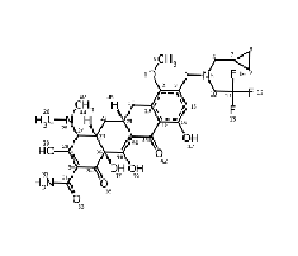 COc1c(CN(CC2CC2)CC(F)(F)F)cc(O)c2c1C[C@H]1C[C@H]3[C@H](N(C)C)C(O)=C(C(N)=O)C(=O)[C@@]3(O)C(O)=C1C2=O